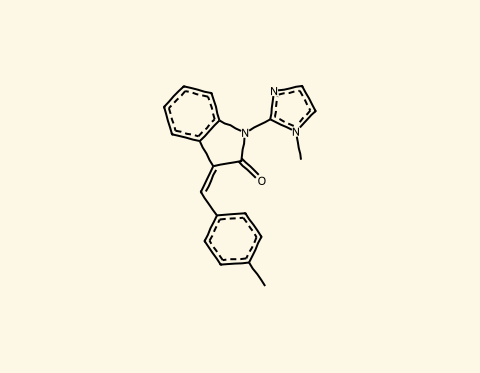 Cc1ccc(/C=C2\C(=O)N(c3nccn3C)c3ccccc32)cc1